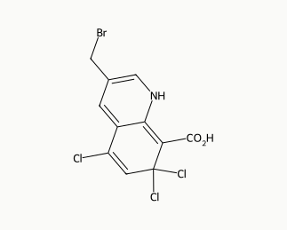 O=C(O)C1=C2NC=C(CBr)C=C2C(Cl)=CC1(Cl)Cl